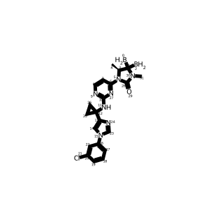 BC1(B)[C@H](C)N(c2ccnc(NC3(c4cn(-c5cccc(Cl)c5)cn4)CC3)n2)C(=O)N1C